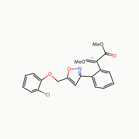 CO/C=C(/C(=O)OC)c1ccccc1-c1cc(COc2ccccc2Cl)on1